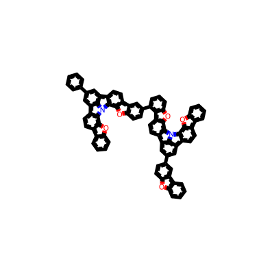 c1ccc(-c2cc3c4ccc5c6ccccc6oc5c4n4c3c(c2)c2ccc3c5cc(-c6cccc7oc8c(ccc9c%10cc(-c%11ccc%12oc%13ccccc%13c%12c%11)cc%11c%12ccc%13c%14ccccc%14oc%13c%12n(c%11%10)c98)c67)ccc5oc3c24)cc1